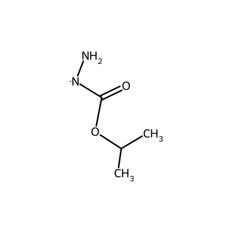 CC(C)OC(=O)[N]N